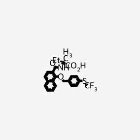 CC[C@](C)(NC(=O)c1ccc2ccccc2c1OCc1ccc(SC(F)(F)F)cc1)C(=O)O